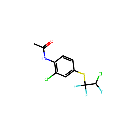 CC(=O)Nc1ccc(SC(F)(F)C(F)Cl)cc1Cl